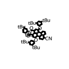 CC(C)(C)c1cc(Oc2cc3c4c(cc(Oc5cc(C(C)(C)C)cc(C(C)(C)C)c5)c5c6ccc(C#N)c7cccc(c2c45)c76)C(=O)N(c2cc(C(C)(C)C)ccc2C(C)(C)C)C3=O)cc(C(C)(C)C)c1